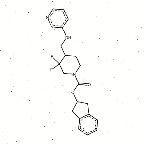 O=C(OC1Cc2ccccc2C1)N1CCC(CNc2cccnn2)C(F)(F)C1